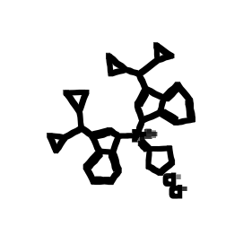 C1=C(C(C2CC2)C2CC2)c2ccccc2[CH]1[Zr+2](=[C]1CCCC1)[CH]1C=C(C(C2CC2)C2CC2)c2ccccc21.[Cl-].[Cl-]